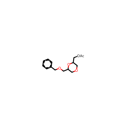 CC(=O)OCC1COCC(COCc2ccccc2)O1